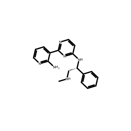 CNC[C@H](Nc1ccnc(-c2cccnc2N)n1)c1ccccc1